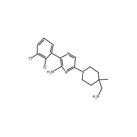 CC1(CN)CCN(c2cnc(-c3cccc(Cl)c3Cl)c(N)n2)CC1